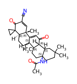 CC(=O)N[C@]12CCC(C)(C)C[C@H]1[C@H]1C(=O)C=C3[C@@]4(C)C=C(C#N)C(=O)C5(CC5)[C@@H]4CC[C@@]3(C)[C@]1(C)CC2